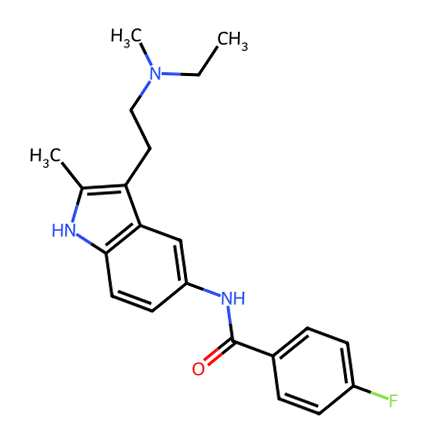 CCN(C)CCc1c(C)[nH]c2ccc(NC(=O)c3ccc(F)cc3)cc12